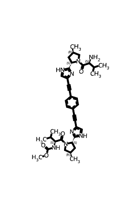 COC(=O)N[C@H](C(=O)N1C[C@H](C)C[C@H]1c1nc(C#Cc2ccc(C#Cc3c[nH]c([C@@H]4C[C@@H](C)CN4C(=O)[C@@H](N)C(C)C)n3)cc2)c[nH]1)C(C)C